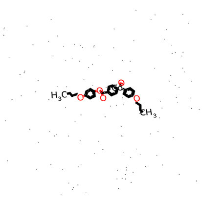 CCCCOc1ccc(OC(=O)c2cc[c]([Co](=[O])[c]3ccc(OCCCC)cc3)cc2)cc1